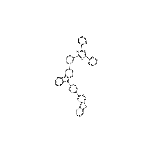 c1ccc(-c2nc(-c3ccccc3)nc(-c3cccc(-c4ccc5c(c4)c4ccccc4n5-c4ccc(-c5ccc6oc7ccccc7c6c5)cc4)c3)n2)cc1